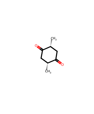 C[C@@H]1CC(=O)[C@H](C)CC1=O